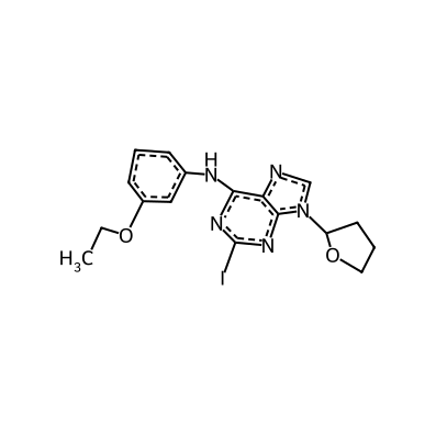 CCOc1cccc(Nc2nc(I)nc3c2ncn3C2CCCO2)c1